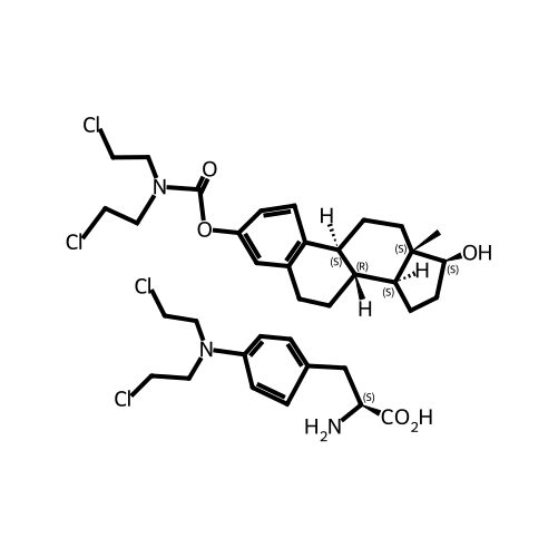 C[C@]12CC[C@@H]3c4ccc(OC(=O)N(CCCl)CCCl)cc4CC[C@H]3[C@@H]1CC[C@@H]2O.N[C@@H](Cc1ccc(N(CCCl)CCCl)cc1)C(=O)O